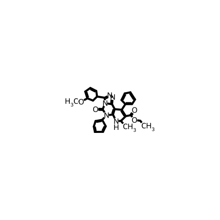 CCOC(=O)C1=C(c2ccccc2)c2c(n(-c3ccccc3)c(=O)n3c(C4C=CC=C(OC)C4)nnc23)NC1C